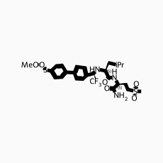 COOSc1ccc(-c2ccc([C@H](N[C@@H](CC(C)C)C(=O)N[C@@H](CCS(C)(=O)=O)C(N)=O)C(F)(F)F)cc2)cc1